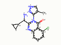 Cc1c[nH]nc1-n1c(C(N)C2CC2)nc2cccc(Cl)c2c1=O